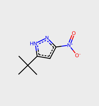 CC(C)(C)c1cc([N+](=O)[O-])n[nH]1